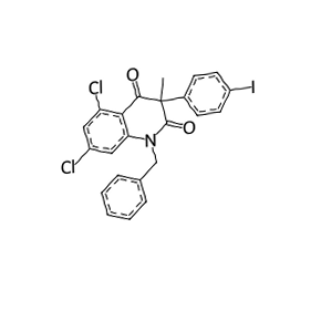 CC1(c2ccc(I)cc2)C(=O)c2c(Cl)cc(Cl)cc2N(Cc2ccccc2)C1=O